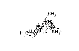 C=CC(CCCCCCCC)Cc1cc(-c2c(F)c(F)c(-c3cc(CC(CC)CCCCCCCC)c(C)s3)c3nsnc23)sc1-c1ccc(-c2c(OCCCC)c(OCCCC)c(-c3ccc(C)s3)c3nsnc23)s1